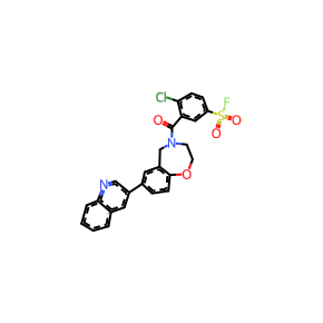 O=C(c1cc(S(=O)(=O)F)ccc1Cl)N1CCOc2ccc(-c3cnc4ccccc4c3)cc2C1